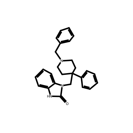 O=c1[nH]c2ccccc2n1CC1(c2ccccc2)CCN(Cc2ccccc2)CC1